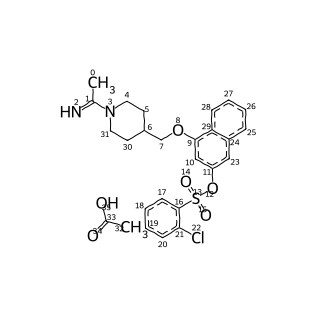 CC(=N)N1CCC(COc2cc(OS(=O)(=O)c3ccccc3Cl)cc3ccccc23)CC1.CC(=O)O